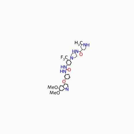 COc1cc2nccc(Oc3cccc(NC(=O)Nc4ccc(N5CCC(NC(=O)C6CCNC(C)C6)CC5)c(C(F)(F)F)c4)c3)c2cc1OC